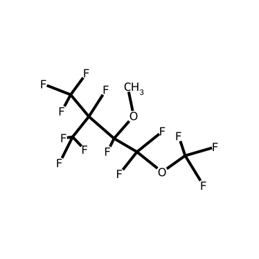 COC(F)(C(F)(F)OC(F)(F)F)C(F)(C(F)(F)F)C(F)(F)F